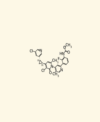 COC(=O)Nc1cccc(-c2cc(-n3c(C)cc([C@H]4C[C@@H]4c4cncc(Cl)c4)c(Cl)c3=O)c(C)cn2)c1F